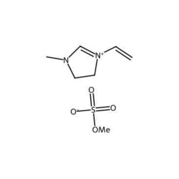 C=C[N+]1=CN(C)CC1.COS(=O)(=O)[O-]